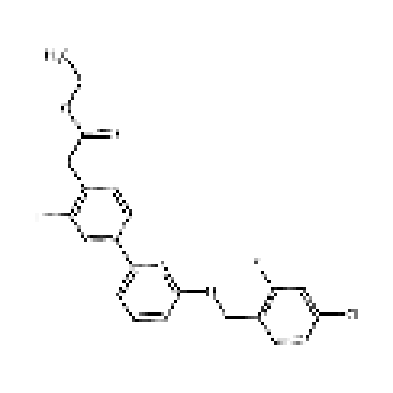 CCOC(=O)Cc1ccc(-c2cccc(OCc3ccc(Cl)cc3F)n2)cc1F